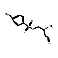 C=CC[C@H](C)COS(=O)(=O)c1ccc(C)cc1